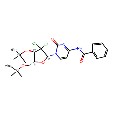 CC(C)(C)[Si](C)(C)OC[C@H]1O[C@@H](n2ccc(NC(=O)c3ccccc3)nc2=O)C(Cl)(Cl)[C@@H]1O[Si](C)(C)C(C)(C)C